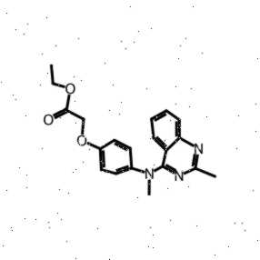 CCOC(=O)COc1ccc(N(C)c2nc(C)nc3ccccc23)cc1